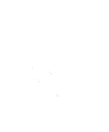 Sc1nc2cnccc2n1-c1ccccccccc1